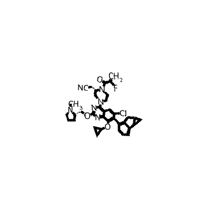 C=C(F)C(=O)N1CCN(c2nc(OC[C@@H]3CCCN3C)nc3c(OC4CC4)c(-c4cccc5c4CC4CC54)c(Cl)cc23)C[C@@H]1CC#N